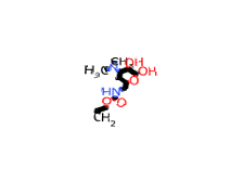 C=CCOC(=O)NCC1CC(N(C)C)C(O)[C@H](O)O1